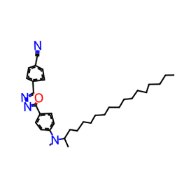 CCCCCCCCCCCCCCCCC(C)N(C)c1ccc(-c2nnc(-c3ccc(C#N)cc3)o2)cc1